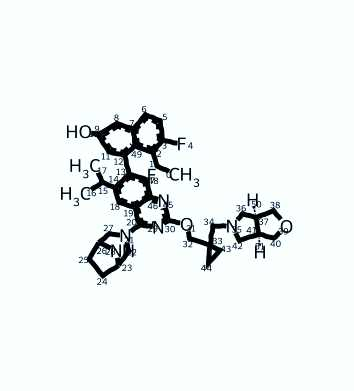 CCc1c(F)ccc2cc(O)cc(-c3c(C(C)C)cc4c(N5CC6CCC(C5)N6)nc(OCC5(CN6C[C@H]7COC[C@H]7C6)CC5)nc4c3F)c12